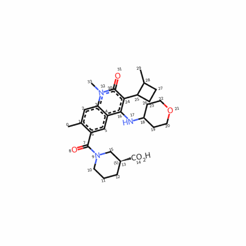 Cc1cc2c(cc1C(=O)N1CCC[C@H](C(=O)O)C1)c(NC1CCOCC1)c(C1CCC1C)c(=O)n2C